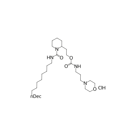 CCCCCCCCCCCCCCCCCCNC(=O)N1CCCCC1CCOC(=O)NCCCN1CCOCC1.Cl